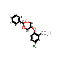 O=C(O)c1cc(Cl)ccc1OC1COC(c2ccccc2)OC1